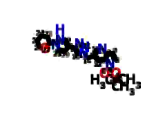 CC(C)(C)OC(=O)n1ccc2ncc(Cn3cc(C4=CNN(C5CCCCO5)C=C4)nn3)cc21